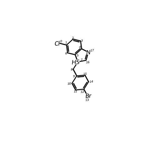 Clc1ccc2c(c1)[SH](Cc1ccc(Br)cc1)C=N2